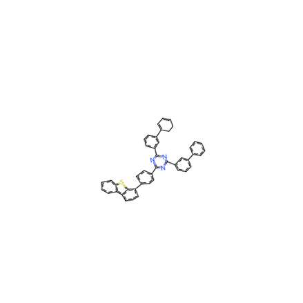 C1=CCCC(c2cccc(-c3nc(-c4ccc(-c5cccc6c5sc5ccccc56)cc4)nc(-c4cccc(-c5ccccc5)c4)n3)c2)=C1